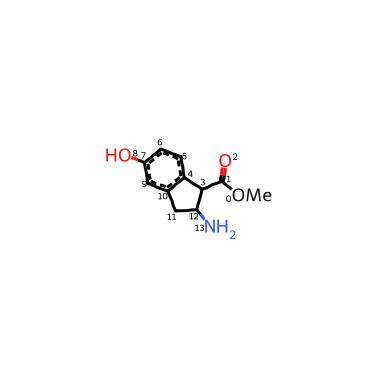 COC(=O)C1c2ccc(O)cc2CC1N